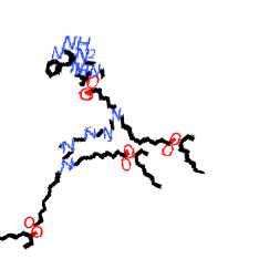 CCCCCCC(CC)OC(=O)CCCCCCCCN(CCCCCCCCC(=O)OC(CC)CCCCC)CCN(C)CCN(C)CCN(C)CCN(CCCCCCCCC(=O)OC(CC)CCCCCC)CCCCCC(=O)OC(C)(C)Cn1c(CNCC)nc2c(N)nc3ccccc3c21